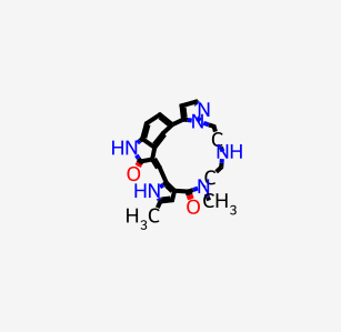 Cc1cc2c([nH]1)/C=C1\C(=O)Nc3ccc(cc31)-c1ccnn1CCNCCN(C)C2=O